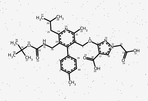 Cc1ccc(-c2c(COc3nn(CC(=O)O)cc3C(=O)O)c(C)nc(CC(C)C)c2CNC(=O)OC(C)(C)C)cc1